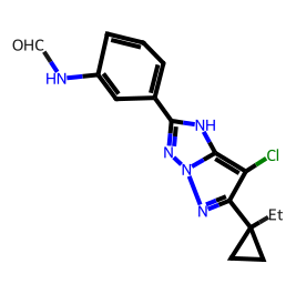 CCC1(c2nn3nc(-c4cccc(NC=O)c4)[nH]c3c2Cl)CC1